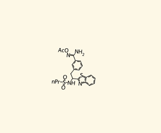 CCCS(=O)(=O)NC(Cc1cccc(C(N)=NOC(C)=O)c1)c1nc2ccccc2s1